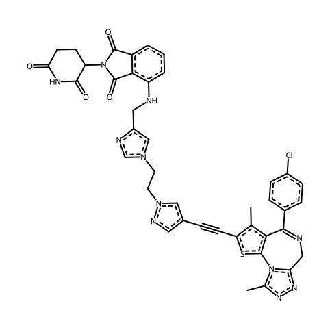 Cc1c(C#Cc2cnn(CCn3cnc(CNc4cccc5c4C(=O)N(C4CCC(=O)NC4=O)C5=O)c3)c2)sc2c1C(c1ccc(Cl)cc1)=NCc1nnc(C)n1-2